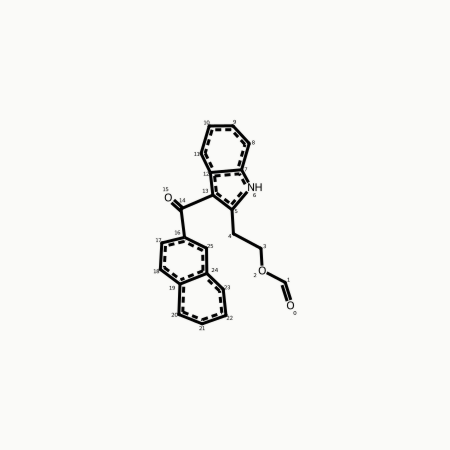 O=COCCc1[nH]c2ccccc2c1C(=O)c1ccc2ccccc2c1